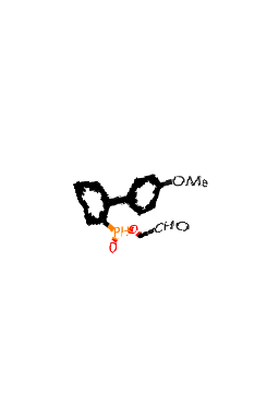 COc1ccc(-c2ccccc2[PH](=O)OCC=O)cc1